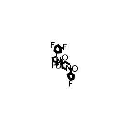 O=C(c1ccc(F)cc1)N1CCC2(CC1)O[C@@H]1CC[C@@H](c3cc(F)cc(F)c3)N1C2=O